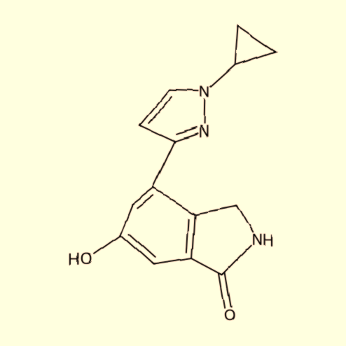 O=C1NCc2c1cc(O)cc2-c1ccn(C2CC2)n1